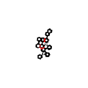 c1ccc(-n2c3ccccc3c3c(-c4ccccc4N(c4ccc(-c5ccc6ccccc6c5)cc4)c4ccccc4-c4cccc5cccc(C6CCCCC6)c45)cccc32)cc1